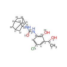 CC(O)c1cc(Cl)cc(NC(=O)NC23CC4CC(CC(C4)C2)C3)c1O